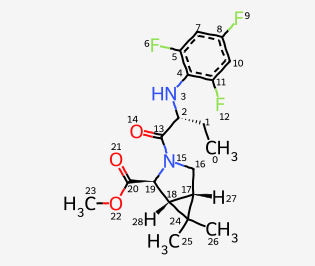 CC[C@@H](Nc1c(F)cc(F)cc1F)C(=O)N1C[C@H]2[C@@H]([C@H]1C(=O)OC)C2(C)C